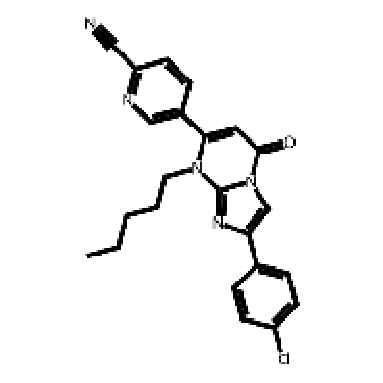 CCCCCn1c(-c2ccc(C#N)nc2)cc(=O)n2cc(-c3ccc(Cl)cc3)nc12